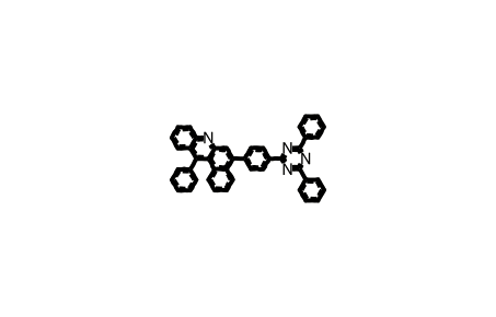 c1ccc(-c2nc(-c3ccccc3)nc(-c3ccc(-c4cc5nc6ccccc6c(-c6ccccc6)c5c5ccccc45)cc3)n2)cc1